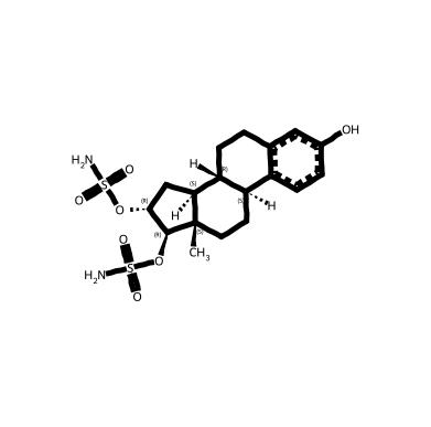 C[C@]12CC[C@@H]3c4ccc(O)cc4CC[C@H]3[C@@H]1C[C@@H](OS(N)(=O)=O)[C@@H]2OS(N)(=O)=O